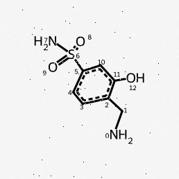 NCc1ccc(S(N)(=O)=O)cc1O